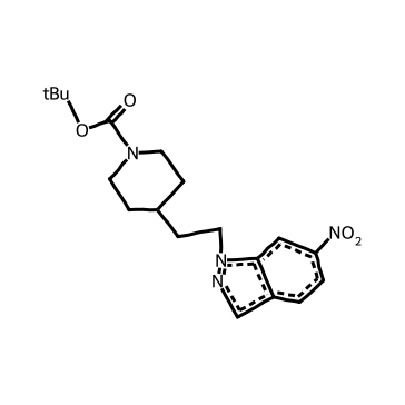 CC(C)(C)OC(=O)N1CCC(CCn2ncc3ccc([N+](=O)[O-])cc32)CC1